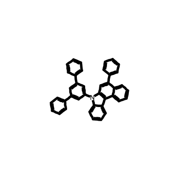 c1ccc(-c2cc(-c3ccccc3)cc(-n3c4ccccc4c4c5ccccc5c(-c5ccccc5)cc43)c2)cc1